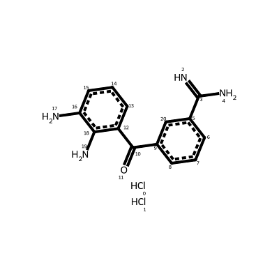 Cl.Cl.N=C(N)c1cccc(C(=O)c2cccc(N)c2N)c1